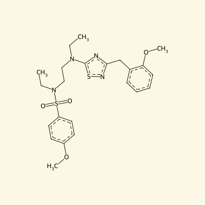 CCN(CCN(CC)S(=O)(=O)c1ccc(OC)cc1)c1nc(Cc2ccccc2OC)ns1